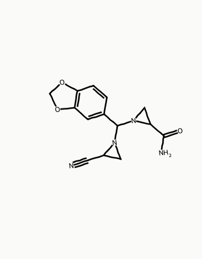 N#CC1CN1C(c1ccc2c(c1)OCO2)N1CC1C(N)=O